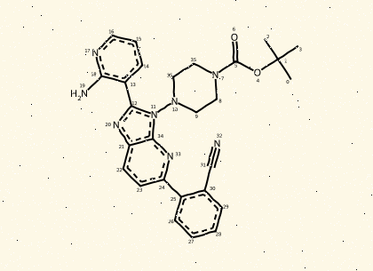 CC(C)(C)OC(=O)N1CCN(n2c(-c3cccnc3N)nc3ccc(-c4ccccc4C#N)nc32)CC1